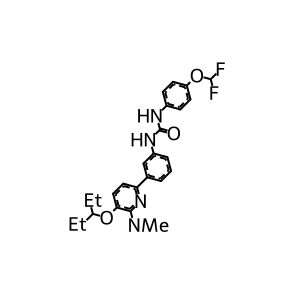 CCC(CC)Oc1ccc(-c2cccc(NC(=O)Nc3ccc(OC(F)F)cc3)c2)nc1NC